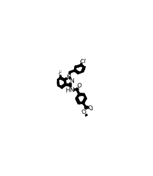 COC(=O)c1ccc(C(=O)Nc2nn(Cc3cccc(Cl)c3)c3c(F)cccc23)cc1